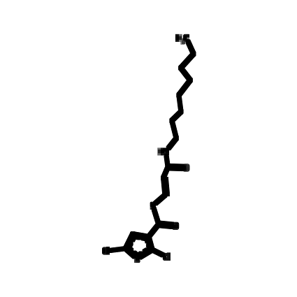 CCCCCCCCNC(=O)C=CSC(=O)c1cc(Cl)sc1Cl